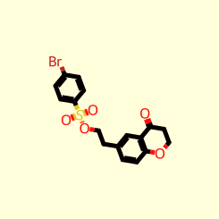 O=C1CCOc2ccc(CCOS(=O)(=O)c3ccc(Br)cc3)cc21